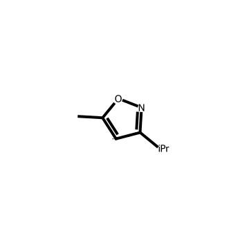 Cc1[c]c(C(C)C)no1